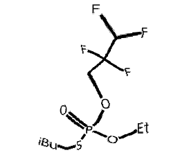 CCOP(=O)(OCC(F)(F)C(F)F)SC(C)CC